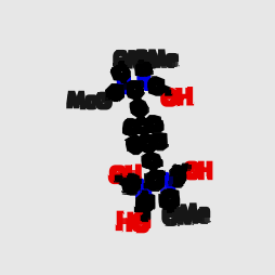 COc1ccc(N(c2ccc(CO)cc2)c2cc(-c3ccc(-c4c5ccccc5c(-c5c6ccccc6c(-c6ccc(-c7cc(N(c8ccc(CO)cc8)c8ccc(OC)cc8)cc(N(c8ccc(OC)cc8)c8ccc(OC)cc8)c7)cc6)c6ccccc56)c5ccccc45)cc3)cc(N(c3ccc(CO)cc3)c3ccc(CO)cc3)c2)cc1